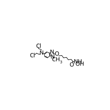 Cn1c(OCCCCCCC(=O)NO)nc2cc(N(CCCl)CCCl)ccc21